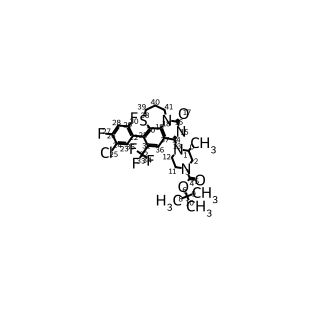 CC1CN(C(=O)OC(C)(C)C)CCN1c1nc(=O)n2c3c(c(-c4cc(Cl)c(F)cc4F)c(C(F)(F)F)cc13)SCCC2